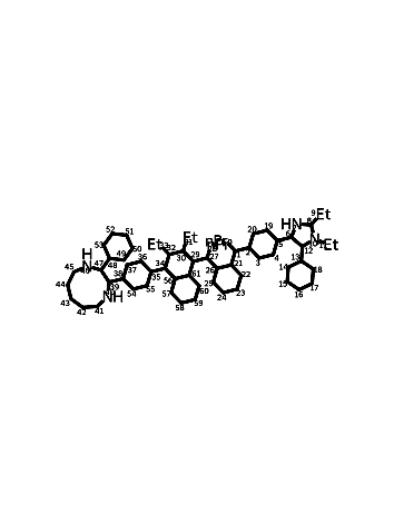 CCCC(C1CCC(C2NC(CC)N(CC)C2C2CCCCC2)CC1)C1CCCCC1C(CCC)C1C(CC)C(CC)C(C2CCC(C3NCCCCCNC3C3CCCCC3)CC2)C2CCCCC21